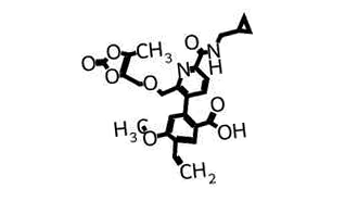 C=Cc1cc(C(=O)O)c(-c2ccc(C(=O)NCC3CC3)nc2COCc2oc(=O)oc2C)cc1OC